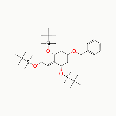 CC(C)(C)[Si](C)(C)OCC=C1[C@H](O[Si](C)(C)C(C)(C)C)CC(OCc2ccccc2)C[C@H]1O[Si](C)(C)C(C)(C)C